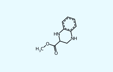 COC(=O)C1CNc2ccccc2N1